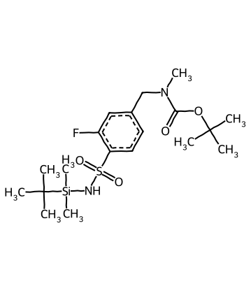 CN(Cc1ccc(S(=O)(=O)N[Si](C)(C)C(C)(C)C)c(F)c1)C(=O)OC(C)(C)C